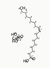 CCCCCCCC/C=C\CCCCCCCC(=O)O.O=C(O)O.[CaH2]